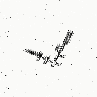 O.O.O.[Na+].[Na+].[Na+].[Na+].[Na+].[Na+].[Na+].[Na+].[Na+].[Na+].[Na+].[Na+].[O-]B([O-])[O-].[O-]B([O-])[O-].[O-]B([O-])[O-].[O-]B([O-])[O-]